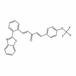 O=C(C=Cc1ccc(OC(F)(F)F)cc1)C=Cc1ccccc1-c1nc2ccccc2s1